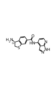 N[C@@H]1CSc2cc(C(=O)Nc3ccnc4[nH]ncc34)ccc21